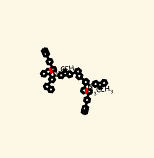 CC1(C)c2ccccc2-c2ccc(N(c3ccc(-c4ccc(C56CC7CC(CC(C7)C5)C6)cc4)cc3)c3ccc(-c4ccc5c(-c6ccc7c(c6)C(C)(C)c6cc(N(c8ccc(-c9ccc(C%10%11CC%12CC(CC(C%12)C%10)C%11)cc9)cc8)c8ccc(-c9cccc%10ccccc9%10)cc8-c8cccc9ccccc89)ccc6-7)cccc5c4)cc3-c3ccccc3)cc21